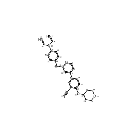 N#Cc1cc(-c2ccnc(Nc3ccc(N(C=N)C=N)cc3)n2)ccc1OC1CCOCC1